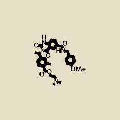 COc1ccc(CNC(=O)c2ccc3[nH]c(=O)n(C(C)c4ccc(C(=O)OCCN(C)C)c(C)c4)c(=O)c3c2)cc1